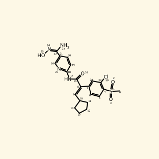 CS(=O)(=O)c1ccc(/C(=C\C2CCCC2)C(=O)Nc2ccc(/C(N)=N\O)cn2)cc1Cl